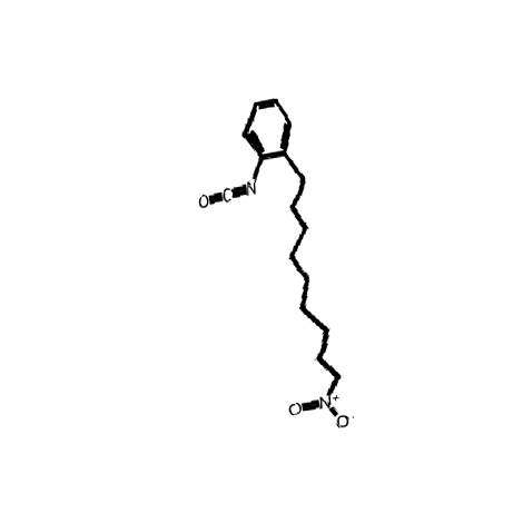 O=C=Nc1ccccc1CCCCCCCCC[N+](=O)[O-]